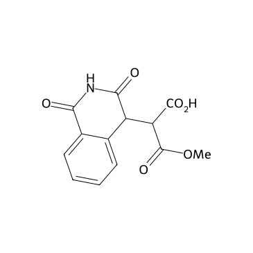 COC(=O)C(C(=O)O)C1C(=O)NC(=O)c2ccccc21